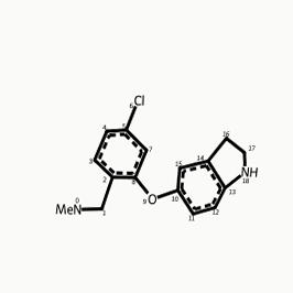 CNCc1ccc(Cl)cc1Oc1ccc2c(c1)CCN2